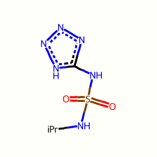 CC(C)NS(=O)(=O)Nc1nnn[nH]1